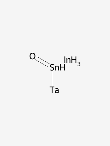 [InH3].[O]=[SnH][Ta]